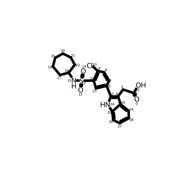 O=C(O)Cc1c(-c2ccc(Cl)c(S(=O)(=O)NC3CCCCCC3)c2)[nH]c2ccccc12